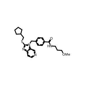 COCCCNC(=O)c1ccc(Cn2c(SCC3CCCC3)nc3ccncc32)cc1